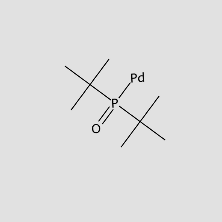 CC(C)(C)[P](=O)([Pd])C(C)(C)C